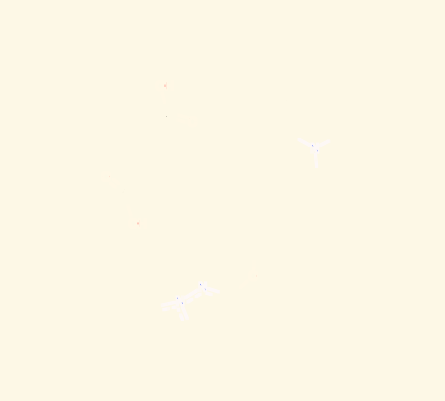 O=C(O)C=CC(=O)O.c1ccn2nc(OCCCCN3CCC4CCCCC4C3)cc2c1